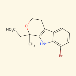 CC1(CC(=O)O)OCCc2c1[nH]c1c(Br)cccc21